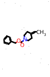 CC=C1CCN(C(=O)OCc2ccccc2)CC1